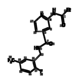 CCC(=O)Nc1cc(C(=O)NCc2cc(C(F)(F)F)ccc2F)ccn1